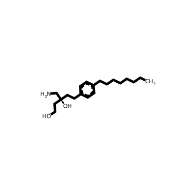 CCCCCCCCc1ccc(CC[C@@](O)(CN)CCO)cc1